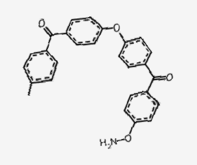 Cc1ccc(C(=O)c2ccc(Oc3ccc(C(=O)c4ccc(ON)cc4)cc3)cc2)cc1